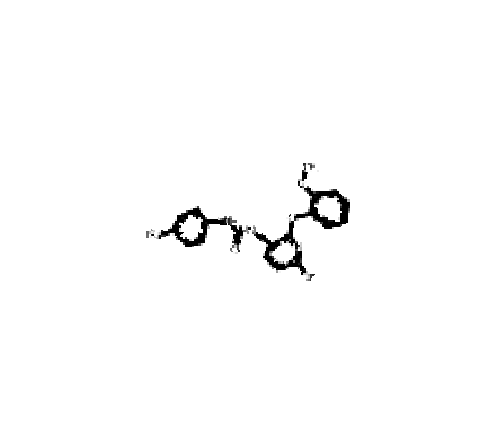 CC(C)(C)c1ccc(NC(=O)Nc2ccc(Br)nc2Oc2ccccc2OC(F)(F)F)cc1